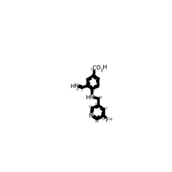 N=Cc1cc(C(=O)O)ccc1NCc1cncc(F)c1